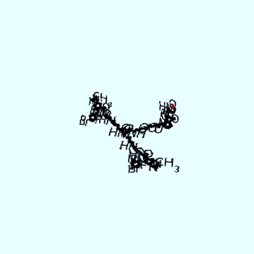 Cn1cnc2c(F)c(Nc3ccc(Br)cc3F)c(C(=O)NOCCNCCCCC(=O)N[C@@H](CCCCNCCONC(=O)c3cc4c(ncn4C)c(F)c3Nc3ccc(Br)cc3F)C(=O)NCCOCCOCC(=O)Nc3cccc4c3C(=O)N(C3CCC(=O)NC3=O)C4=O)cc21